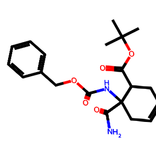 CC(C)(C)OC(=O)C1CC=CCC1(NC(=O)OCc1ccccc1)C(N)=O